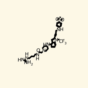 CS(=O)(=O)c1ccc(NCC#Cc2cc3c(NC4CCN(CC(=O)NCCCCNC(=N)N)CC4)cccc3n2CC(F)(F)F)cc1